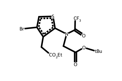 CCOC(=O)Cc1c(Br)csc1N(CC(=O)OC(C)(C)C)C(=O)C(F)(F)F